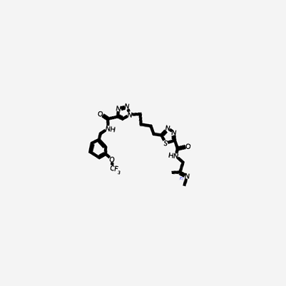 C/N=C(\C)CNC(=O)c1nnc(CCCCn2cc(C(=O)NCc3cccc(OC(F)(F)F)c3)nn2)s1